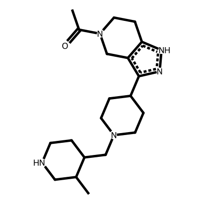 CC(=O)N1CCc2[nH]nc(C3CCN(CC4CCNCC4C)CC3)c2C1